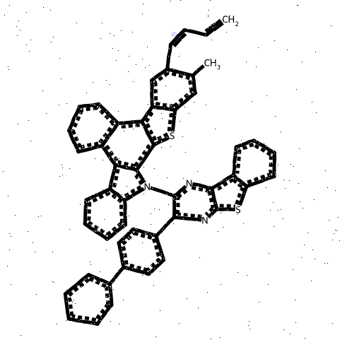 C=C/C=C\c1cc2c(cc1C)sc1c2c2ccccc2c2c3ccccc3n(-c3nc4c(nc3-c3ccc(-c5ccccc5)cc3)sc3ccccc34)c12